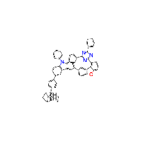 CC1(C)C2CCC(c3ccc(-c4ccc5c(c4)c4cc(-c6ccc7oc8cccc(-c9nc(-c%10ccccc%10)nc(-c%10ccccc%10)n9)c8c7c6)ccc4n5-c4ccccc4)cc3)C1C2